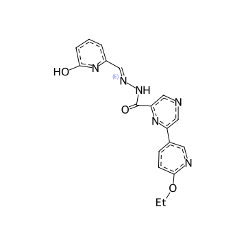 CCOc1ccc(-c2cncc(C(=O)N/N=C/c3cccc(O)n3)n2)cn1